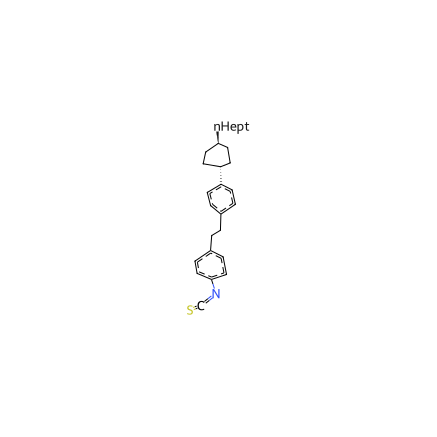 CCCCCCC[C@H]1CC[C@H](c2ccc(CCc3ccc(N=C=S)cc3)cc2)CC1